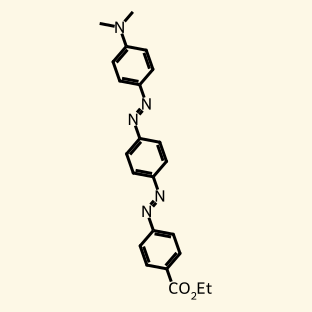 CCOC(=O)c1ccc(N=Nc2ccc(N=Nc3ccc(N(C)C)cc3)cc2)cc1